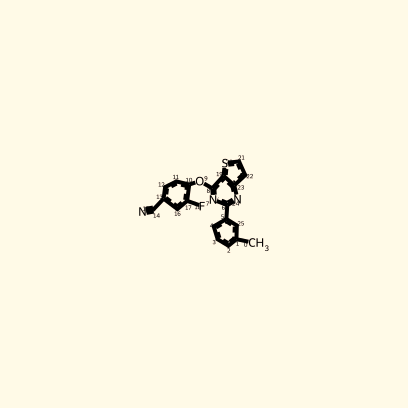 Cc1cccc(-c2nc(Oc3ccc(C#N)cc3F)c3sccc3n2)c1